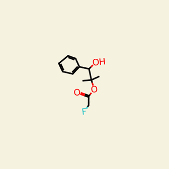 CC(C)(OC(=O)CF)C(O)c1ccccc1